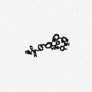 CCCCC(=O)NCCN1CCN(Cc2ccc(C(=O)Nc3ccc(C)c(Nc4nccc(-c5cccnc5)n4)c3)cc2)CC1